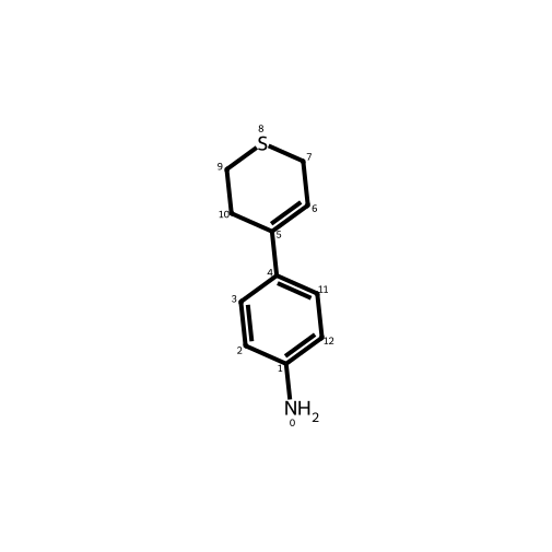 Nc1ccc(C2=CCSCC2)cc1